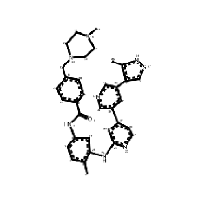 Cc1ccc(NC(=O)c2ccc(CN3CCN(C)CC3)cc2)cc1Nc1nccc(-c2cncc(-c3csnc3C)c2)n1